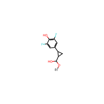 CCOC(O)C1CC1c1cc(F)c(O)c(F)c1